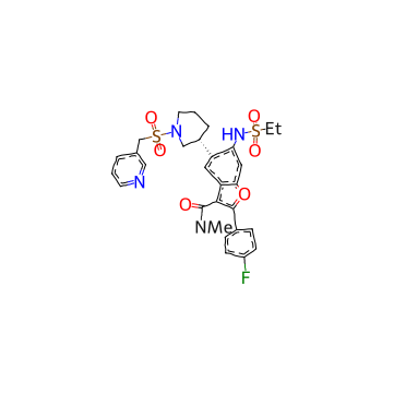 CCS(=O)(=O)Nc1cc2oc(-c3ccc(F)cc3)c(C(=O)NC)c2cc1[C@H]1CCCN(S(=O)(=O)Cc2cccnc2)C1